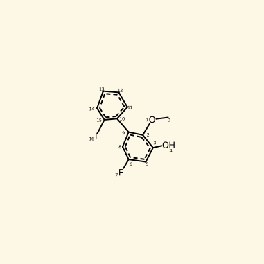 COc1c(O)cc(F)cc1-c1ccccc1I